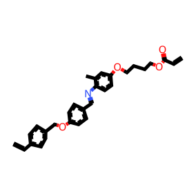 C=CC(=O)OCCCCOc1ccc(/N=C/c2ccc(OCc3ccc(C=C)cc3)cc2)c(C)c1